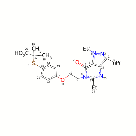 CCCc1nn(CC)c2c(=O)n(CCOc3ccc(SC(C)(C)C(=O)O)cc3)c(CC)nc12